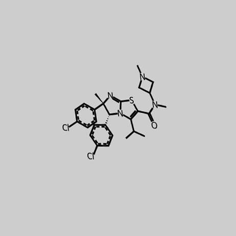 CC(C)C1=C(C(=O)N(C)C2CN(C)C2)SC2=N[C@@](C)(c3ccc(Cl)cc3)[C@@H](c3ccc(Cl)cc3)N21